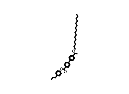 CCCCCCCCCCCCCCCCOC(C)c1ccc(-c2ccc(C(=O)Oc3ccc(CCC)cc3)cc2)cc1